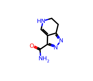 NC(=O)C1=NN=C2CCNC=C21